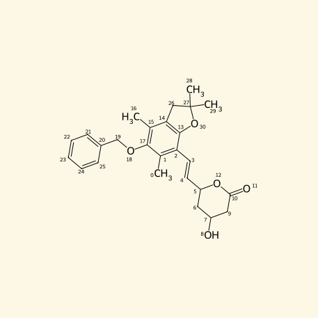 Cc1c(C=CC2CC(O)CC(=O)O2)c2c(c(C)c1OCc1ccccc1)CC(C)(C)O2